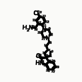 CCC1(CCCCN2CCN(c3ccc(Cl)cc3CN)CC2)C(=O)Nc2ccccc21